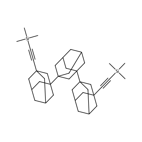 C[Si](C)(C)C#CC12CC3CC(C1)CC(C14CC5CC(C1)CC(C16CC7CC(CC(C#C[Si](C)(C)C)(C7)C1)C6)(C5)C4)(C3)C2